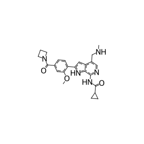 CNCc1cnc(NC(=O)C2CC2)c2[nH]c(-c3ccc(C(=O)N4CCC4)cc3OC)cc12